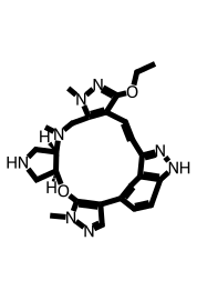 CCOc1nn(C)c2c1/C=C/c1n[nH]c3ccc(cc13)-c1cnn(C)c1O[C@H]1CNC[C@@H]1N(C)C2